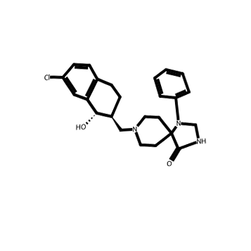 O=C1NCN(c2ccccc2)C12CCN(C[C@@H]1CCc3ccc(Cl)cc3[C@H]1O)CC2